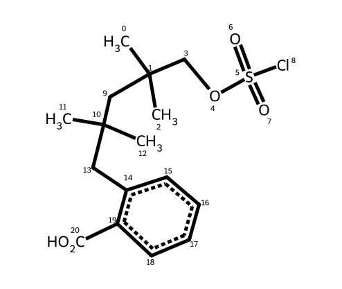 CC(C)(COS(=O)(=O)Cl)CC(C)(C)Cc1ccccc1C(=O)O